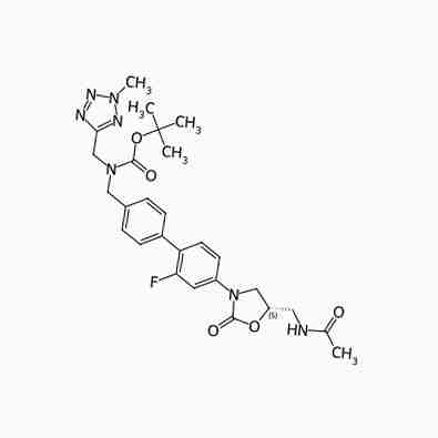 CC(=O)NC[C@H]1CN(c2ccc(-c3ccc(CN(Cc4nnn(C)n4)C(=O)OC(C)(C)C)cc3)c(F)c2)C(=O)O1